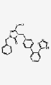 CCSc1nn(Cc2ccccc2)c(=O)n1Cc1ccc(-c2ccccc2-c2nnn[nH]2)cc1